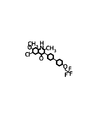 COc1cc2[nH]c(C)c(-c3ccc(-c4ccc(OCC(F)(F)F)cc4)cc3)c(=O)c2cc1Cl